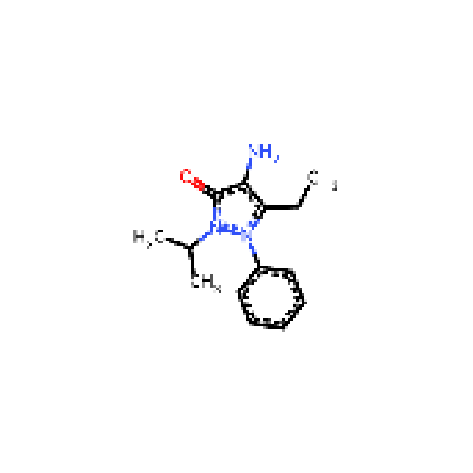 CCc1c(N)c(=O)n(C(C)C)n1-c1ccccc1